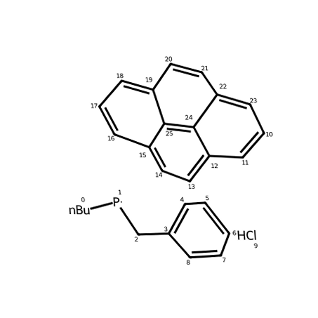 CCCC[P]Cc1ccccc1.Cl.c1cc2ccc3cccc4ccc(c1)c2c34